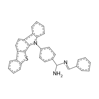 NC(/N=C/c1ccccc1)c1ccc(-n2c3ccccc3c3ccc4c5ccccc5sc4c32)cc1